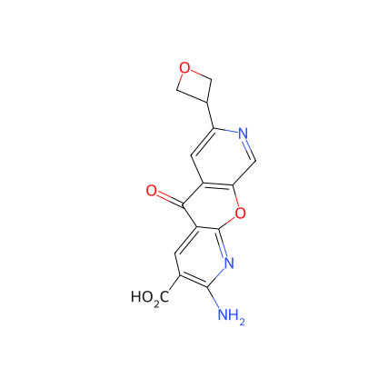 Nc1nc2oc3cnc(C4COC4)cc3c(=O)c2cc1C(=O)O